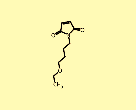 CCOCCCCN1C(=O)C=CC1=O